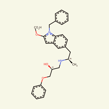 C[C@H](Cc1ccc2c(c1)cc(OC(=O)O)n2Cc1ccccc1)NC[C@H](O)COc1ccccc1